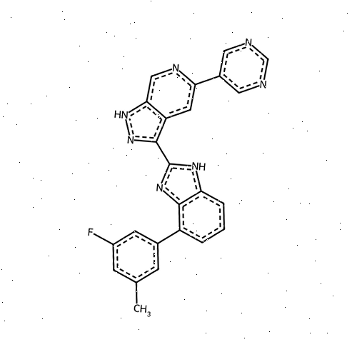 Cc1cc(F)cc(-c2cccc3[nH]c(-c4n[nH]c5cnc(-c6cncnc6)cc45)nc23)c1